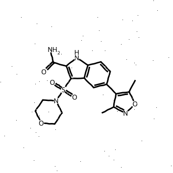 Cc1noc(C)c1-c1ccc2[nH]c(C(N)=O)c(S(=O)(=O)N3CCOCC3)c2c1